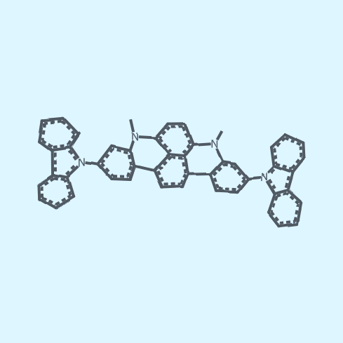 CN1c2cc(-n3c4ccccc4c4ccccc43)ccc2-c2ccc3c4c(ccc1c24)N(C)c1cc(-n2c4ccccc4c4ccccc42)ccc1-3